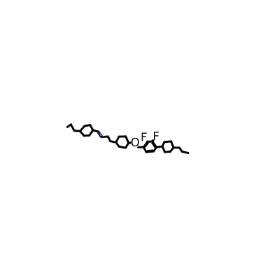 CCCC1CCC(/C=C/CCC2CCC(OCc3ccc(C4CCC(CCC)CC4)c(F)c3F)CC2)CC1